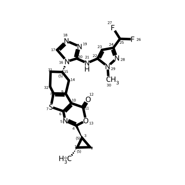 C[C@H]1C[C@@H]1c1nc2sc3c(c2c(=O)o1)C[C@@H](n1cnnc1Nc1cc(C(F)F)nn1C)CC3